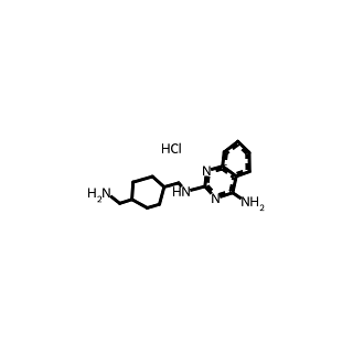 Cl.NCC1CCC(CNc2nc(N)c3ccccc3n2)CC1